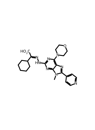 Cn1c(-c2ccncc2)nc2c(N3CCOCC3)nc(N/N=C(/C(=O)O)C3CCCCC3)nc21